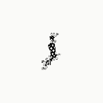 CC(C)C1=C2[C@H]3CC[C@@H]4[C@@]5(C)CC[C@H](OC(=O)[C@H]6C[C@@H](C(=O)O)C6(C)C)C(C)(C)[C@@H]5CC[C@@]4(C)[C@]3(C)CC[C@@]2(NC(=O)C(C)(C)NC(=O)[C@@H](NC(=O)OC(C)(C)C)C(C)C)CC1=O